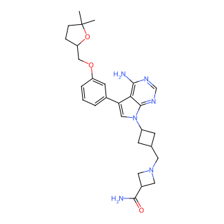 CC1(C)CCC(COc2cccc(-c3cn(C4CC(CN5CC(C(N)=O)C5)C4)c4ncnc(N)c34)c2)O1